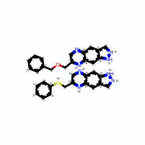 c1ccc(COCc2cnc3cc4cn[nH]c4cc3n2)cc1.c1ccc(SCc2cnc3cc4[nH]ncc4cc3n2)cc1